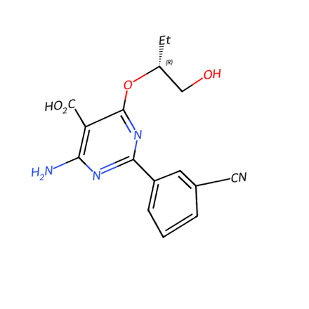 CC[C@H](CO)Oc1nc(-c2cccc(C#N)c2)nc(N)c1C(=O)O